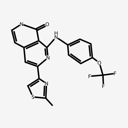 Cc1nc(-c2cc3c(c(Nc4ccc(OC(F)(F)F)cc4)n2)C(=O)[N]C=C3)cs1